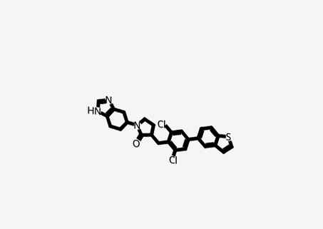 O=C1C(Cc2c(Cl)cc(-c3ccc4sccc4c3)cc2Cl)CCN1C1CCc2[nH]cnc2C1